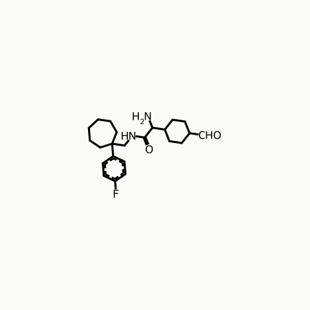 NC(C(=O)NCC1(c2ccc(F)cc2)CCCCCC1)C1CCC(C=O)CC1